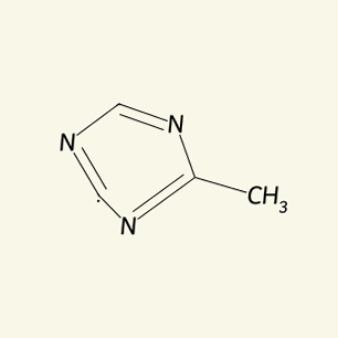 Cc1n[c]ncn1